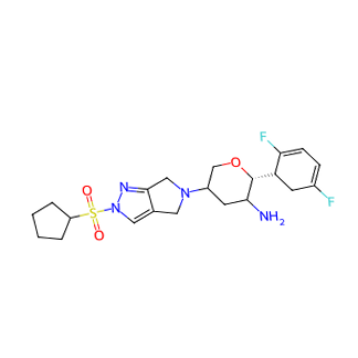 NC1CC(N2Cc3cn(S(=O)(=O)C4CCCC4)nc3C2)CO[C@@H]1C1CC(F)=CC=C1F